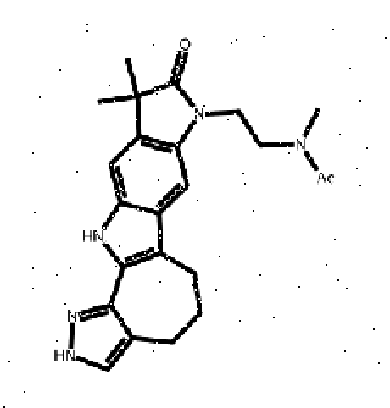 CC(=O)N(C)CCN1C(=O)C(C)(C)c2cc3[nH]c4c(c3cc21)CCCc1c[nH]nc1-4